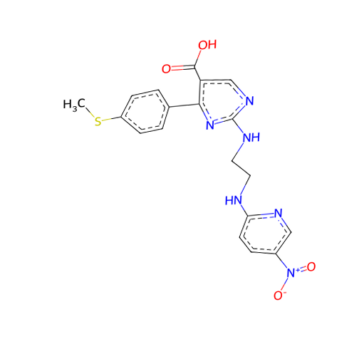 CSc1ccc(-c2nc(NCCNc3ccc([N+](=O)[O-])cn3)ncc2C(=O)O)cc1